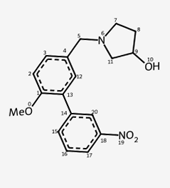 COc1ccc(CN2CCC(O)C2)cc1-c1cccc([N+](=O)[O-])c1